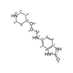 O=c1[nH]c2ccc(NSOOC3CCNCC3)cc2[nH]1